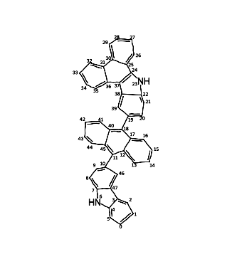 c1ccc2c(c1)[nH]c1ccc(-c3c4ccccc4c(-c4ccc5[nH]c6c7ccccc7c7ccccc7c6c5c4)c4ccccc34)cc12